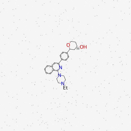 CCN1CCN(c2nc(-c3ccc(C4C[C@@H](O)CCO4)cc3)cc3ccccc23)CC1